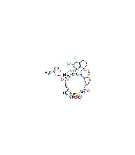 C[C@@H]1[C@@H](C)S(=O)(=O)NC(=O)c2ccc3c(c2)N(C[C@@H]2CC[C@H]2[C@@H](OCCN(C)C)C2=C[C@H]1C2)C[C@@]1(CCCc2c1ccc(Cl)c2F)CO3